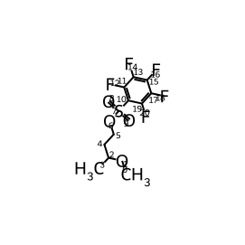 COC(C)CCOS(=O)(=O)c1c(F)c(F)c(F)c(F)c1F